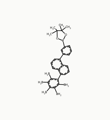 Bc1c(B)c(B)c(-c2cccc3c(-c4cccc(B5OC(C)(C)C(C)(C)O5)c4)cccc23)c(B)c1B